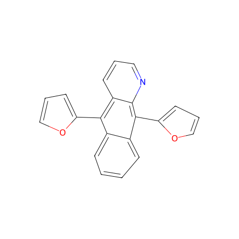 c1coc(-c2c3ccccc3c(-c3ccco3)c3ncccc23)c1